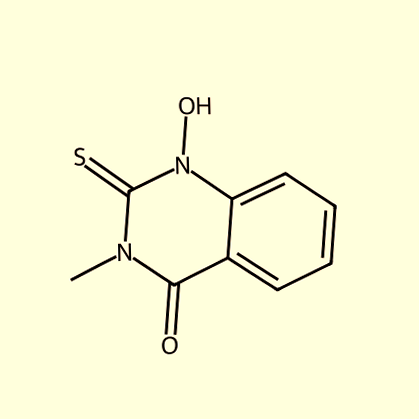 Cn1c(=O)c2ccccc2n(O)c1=S